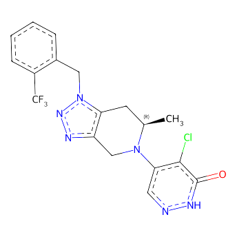 C[C@@H]1Cc2c(nnn2Cc2ccccc2C(F)(F)F)CN1c1cn[nH]c(=O)c1Cl